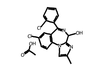 CC(=O)O.Cc1cn2c(n1)C(O)N=C(c1ccccc1Cl)c1cc(Cl)ccc1-2